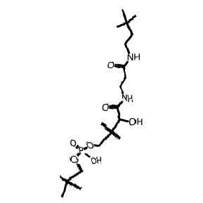 CC(C)(C)CCNC(=O)CCNC(=O)C(O)C(C)(C)COP(=O)(O)OCC(C)(C)C